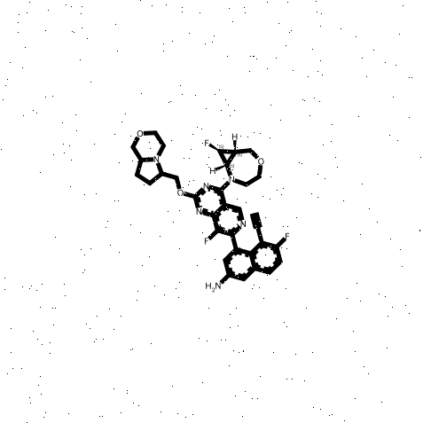 C#Cc1c(F)ccc2cc(N)cc(-c3ncc4c(N5CCOC[C@H]6[C@H](F)[C@H]65)nc(OCC5CCC6COCCN65)nc4c3F)c12